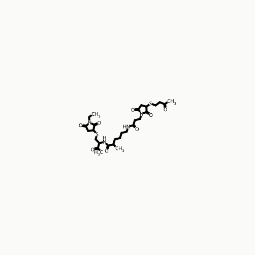 CCN1C(=O)CC(SCC(NC(=O)C(C)CCCCNC(=O)CCN2C(=O)CC(SCCC(C)=O)C2=O)C(C)=O)C1=O